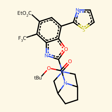 CCOC(=O)c1cc(-c2nccs2)c2oc(N3CC4CCC(C3)N4C(=O)OC(C)(C)C)nc2c1C(F)(F)F